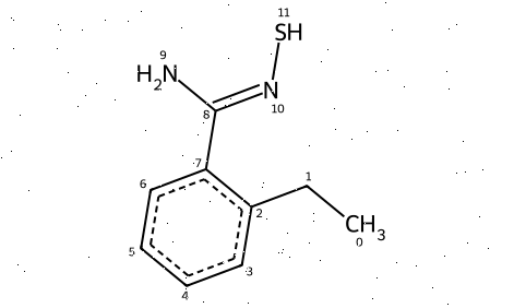 CCc1ccccc1C(N)=NS